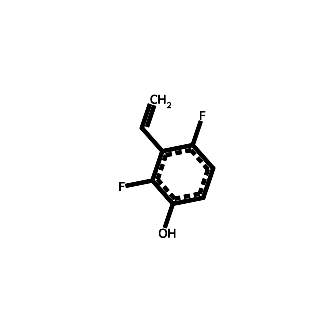 C=Cc1c(F)ccc(O)c1F